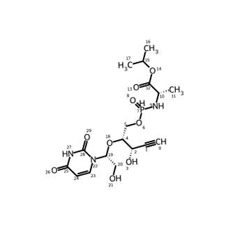 C#C[C@H](O)[C@@H](CO[PH](=O)N[C@@H](C)C(=O)OC(C)C)O[C@H](CO)n1ccc(=O)[nH]c1=O